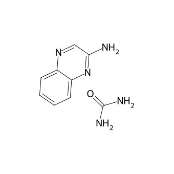 NC(N)=O.Nc1cnc2ccccc2n1